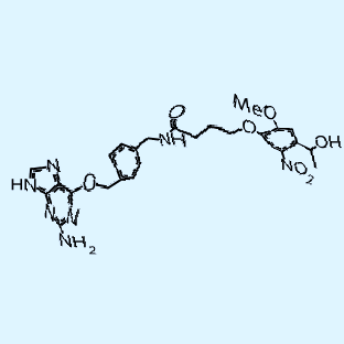 COc1cc(C(C)O)c([N+](=O)[O-])cc1OCCCC(=O)NCc1ccc(COc2nc(N)nc3[nH]cnc23)cc1